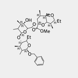 CCC1O[C@@H](OCc2ccccc2)C(C)[C@@H](C)[C@@H]1O[C@@H]1OC(CO[C@]2(C(=O)OC)C[C@@H](C)[C@@H](C)C([C@H](C)[C@@H](CC)OC(C)=O)O2)[C@H](O)[C@H](C)C1C